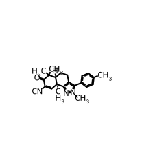 [C-]#[N+]C1=C[C@]2(C)c3nn(C)c(-c4ccc(C)cc4)c3CC[C@H]2C(C)(C)C1=O